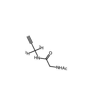 [2H]C([2H])(C#C)NC(=O)CNC(C)=O